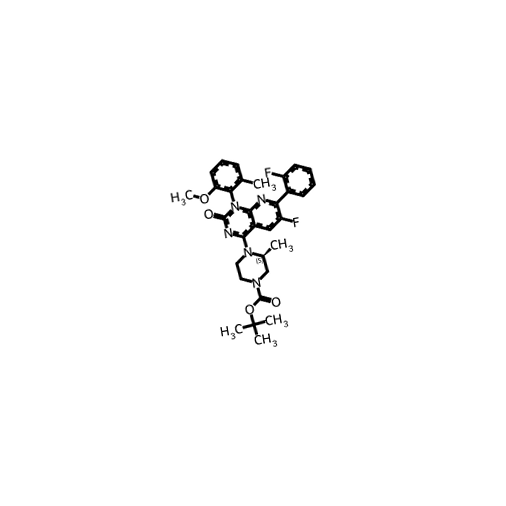 COc1cccc(C)c1-n1c(=O)nc(N2CCN(C(=O)OC(C)(C)C)C[C@@H]2C)c2cc(F)c(-c3ccccc3F)nc21